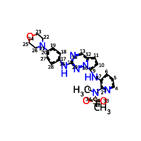 CN(c1ncccc1Nc1ccc2cnc(Nc3ccc(N4CCOCC4)cc3)nn12)S(C)(=O)=O